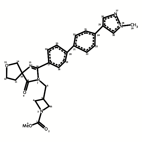 COC(=O)N1CC(CN2C(=O)C3(CCOC3)N=C2c2ccc(-c3ccc(-c4cnn(C)c4)cc3)cc2)C1